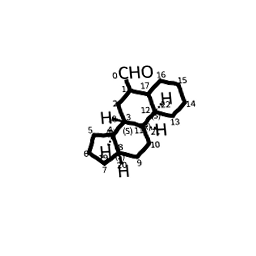 O=CC1C[C@H]2[C@@H]3CCC[C@H]3CC[C@@H]2[C@@H]2CCCCC12